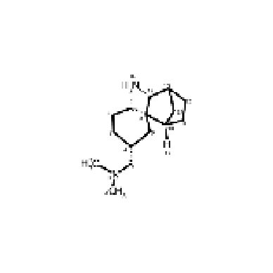 CN(C)C[C@@H]1CCC[C@@]2(C1)[C@H]1CCC(C1)[C@H]2N